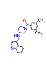 Cc1cc(C)cc(C(=O)N2CCC(NCc3ccnc4ccccc34)CC2)c1